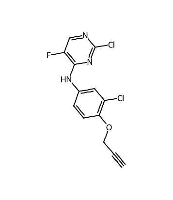 C#CCOc1ccc(Nc2nc(Cl)ncc2F)cc1Cl